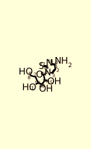 Nc1ccn(C2OC(CO)C(O)C(O)C2O)c(=S)n1